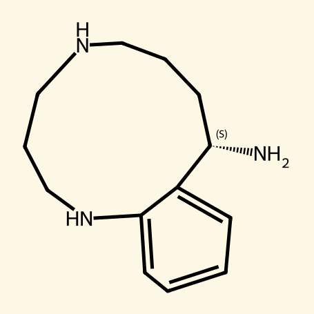 N[C@H]1CCCNCCCNc2ccccc21